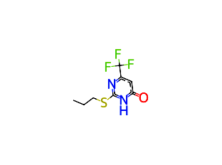 CCCSc1nc(C(F)(F)F)cc(=O)[nH]1